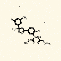 COCC(=O)NN(C(=O)OC(C)(C)C)c1cc(C2=NOC(c3cc(C)cc(I)c3)(C(F)(F)F)C2)ccc1Cl